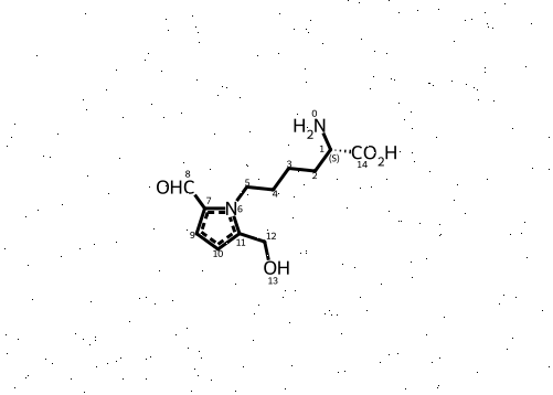 N[C@@H](CCCCn1c(C=O)ccc1CO)C(=O)O